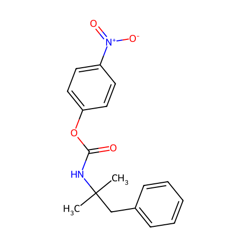 CC(C)(Cc1ccccc1)NC(=O)Oc1ccc([N+](=O)[O-])cc1